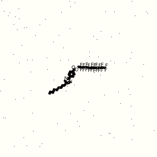 CCCCCCCCCc1cnc(-c2ccc(C(=O)OCC(F)(F)C(F)(F)C(F)(F)C(F)(F)C(F)(F)C(F)(F)C(F)(F)C(F)(F)C(F)(F)C(F)F)cc2)nc1